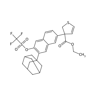 CCOC(=O)C1(c2ccc3cc(OS(=O)(=O)C(F)(F)F)c(C45CC6CC(CC(C6)C4)C5)cc3c2)C=CSC1